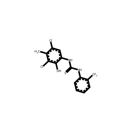 Cc1c(Cl)cc(NC(=S)Nc2ccccc2C(F)(F)F)c(O)c1Cl